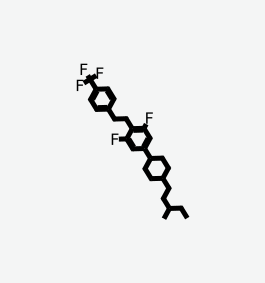 CCC(C)CCC1CCC(c2cc(F)c(CCc3ccc(C(F)(F)F)cc3)c(F)c2)CC1